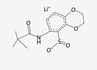 CC(C)(C)C(=O)Nc1ccc2c(c1S(=O)[O-])OCCO2.[Li+]